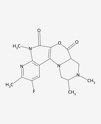 Cc1nc2c(cc1F)c1c(c(=O)n2C)OC(=O)C2CN(C)C(C)CN12